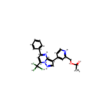 CC(=O)OCc1cc(-c2cnn3c(C(F)(F)F)cc(-c4ccccc4)nc23)ccn1